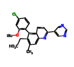 Cc1cc2nc(-c3cncnc3)ccc2c(-c2ccc(Cl)cc2OC(C)(C)C)c1CC(=O)O